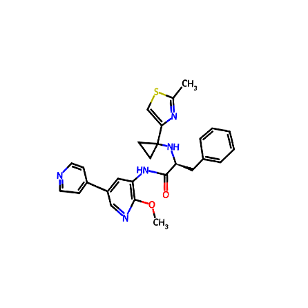 COc1ncc(-c2ccncc2)cc1NC(=O)[C@H](Cc1ccccc1)NC1(c2csc(C)n2)CC1